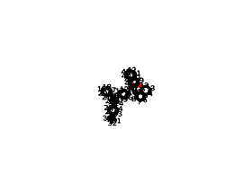 CC1CC=Cc2cccc(N(c3ccc(N(c4ccccc4)C(C)(C)c4ccc(C(C)(C)C)cc4)cc3)c3ccc4ccccc4c3)c21